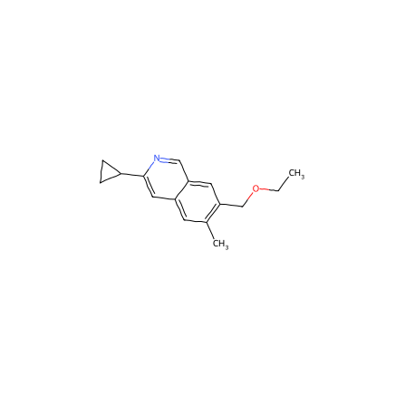 CCOCc1cc2cnc(C3CC3)cc2cc1C